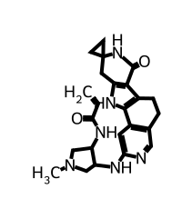 C=CC(=O)NC1CN(C)CC1Nc1cc2c(cn1)CCc1c-2[nH]c2c1C(=O)NC1(CC1)C2